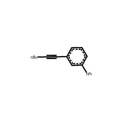 CCCCC#Cc1cccc(CCC)c1